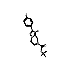 CC(C)(C)OC(=O)N1CCn2nc(-c3ccc(Cl)cc3)c(Br)c2C1